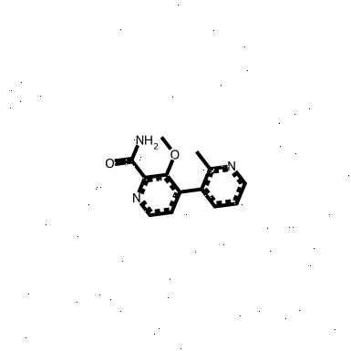 COc1c(-c2cccnc2C)ccnc1C(N)=O